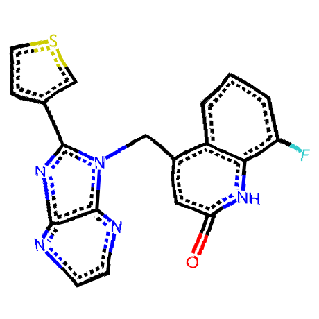 O=c1cc(Cn2c(-c3ccsc3)nc3nccnc32)c2cccc(F)c2[nH]1